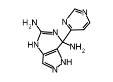 NC1=NC(N)(c2ccncn2)c2[nH]ncc2N1